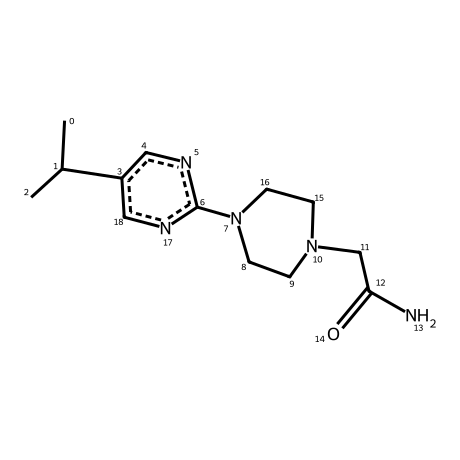 CC(C)c1cnc(N2CCN(CC(N)=O)CC2)nc1